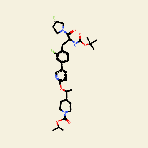 CC(C)OC(=O)N1CCC(C(C)Oc2ccc(-c3ccc(CC(NC(=O)OC(C)(C)C)C(=O)N4CC[C@H](F)C4)c(F)c3)cn2)CC1